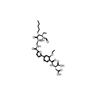 CCCCC[C@@H](C(=O)NCNC(=O)c1ccc(-c2ccc(C(=O)N[C@@H](CC(=O)O)C(=O)O)c(OCC)c2)o1)[C@@H](CC)N(O)C=O